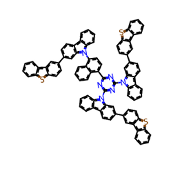 c1ccc2c(c1)sc1ccc(-c3ccc4c5ccccc5n(-c5nc(-c6ccc(-n7c8ccccc8c8ccc(-c9ccc%10sc%11ccccc%11c%10c9)cc87)c7ccccc67)nc(-n6c7ccccc7c7ccc(-c8ccc9sc%10ccccc%10c9c8)cc76)n5)c4c3)cc12